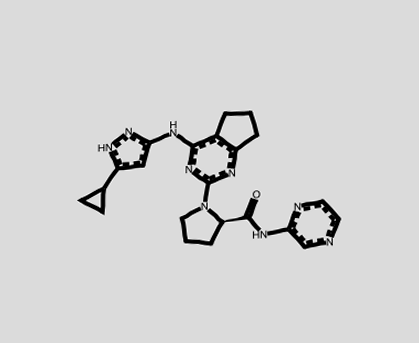 O=C(Nc1cnccn1)[C@H]1CCCN1c1nc2c(c(Nc3cc(C4CC4)[nH]n3)n1)CCC2